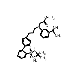 COC(=O)CN(CCCc1ccc(-c2ccccc2S(=O)(=O)NC(C)(C)C)cc1)c1cccc(C(=N)N)c1